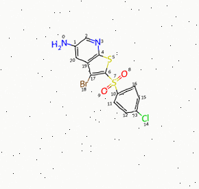 Nc1cnc2sc(S(=O)(=O)c3ccc(Cl)cc3)c(Br)c2c1